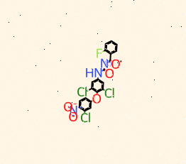 CO/C(=N\C(=O)Nc1cc(Cl)c(Oc2ccc([N+](=O)[O-])c(Cl)c2)c(Cl)c1)c1ccccc1F